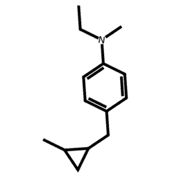 CCN(C)c1ccc(CC2CC2C)cc1